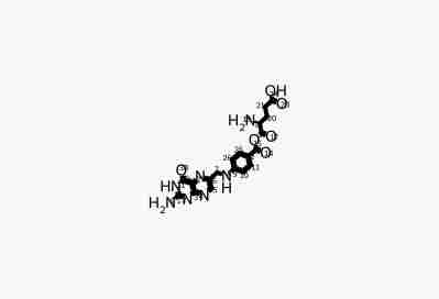 Nc1nc2ncc(CNc3ccc(C(=O)OC(=O)[C@@H](N)CCC(=O)O)cc3)nc2c(=O)[nH]1